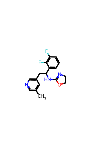 Cc1cncc(CC(NC2=NCCO2)c2cccc(F)c2F)c1